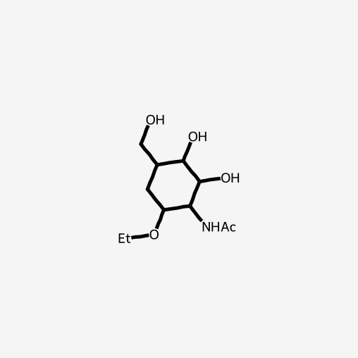 CCOC1CC(CO)C(O)C(O)C1NC(C)=O